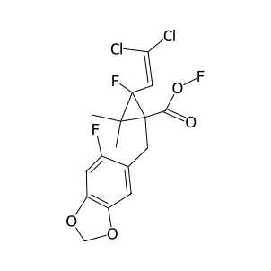 CC1(C)C(F)(C=C(Cl)Cl)C1(Cc1cc2c(cc1F)OCO2)C(=O)OF